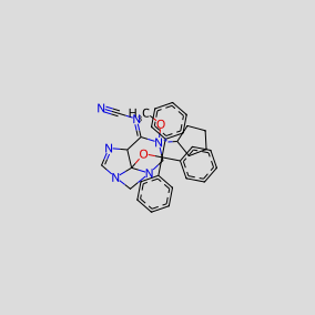 CO[N+]1(C2CCCC2)CN2CN3C=NC(C1=NC#N)C32OC(c1ccccc1)(c1ccccc1)c1ccccc1